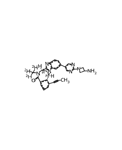 [2H]C([2H])([2H])N1C(=O)c2cccc(C#CC)c2[C@H]2C[C@@H]1c1nc3ccc(-c4cnc(N5CC(N)C5)nc4)cc3n12